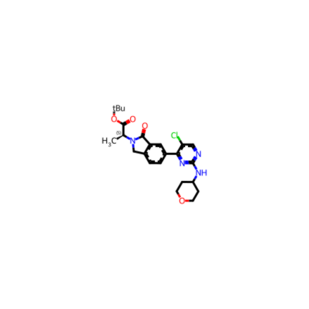 C[C@@H](C(=O)OC(C)(C)C)N1Cc2ccc(-c3nc(NC4CCOCC4)ncc3Cl)cc2C1=O